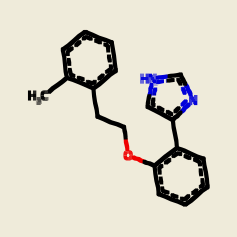 Cc1ccccc1CCOc1ccccc1-c1c[nH]cn1